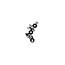 CNC(=O)c1c2cc(C3CC3)c(N(Cc3ccncc3)S(C)(=O)=O)cc2nn1-c1ccc(Br)cc1